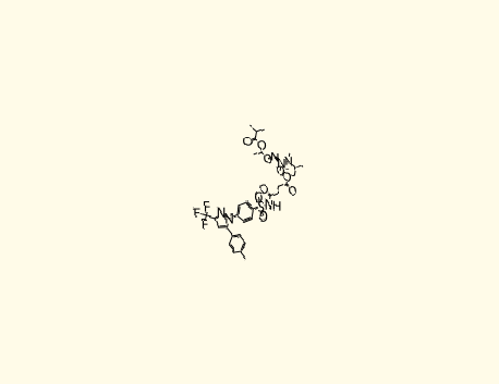 Cc1ccc(-c2cc(C(F)(F)F)nn2-c2ccc(S(=O)(=O)NC(=O)CCC(=O)OC[C@H](C)N(C)/[N+]([O-])=N/OC(C)OC(=O)C(C)C)cc2)cc1